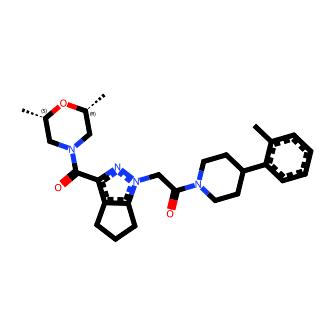 Cc1ccccc1C1CCN(C(=O)Cn2nc(C(=O)N3C[C@@H](C)O[C@@H](C)C3)c3c2CCC3)CC1